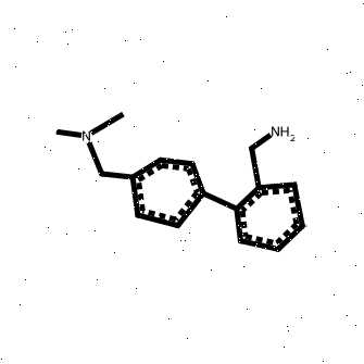 CN(C)Cc1ccc(-c2cc[c]cc2CN)cc1